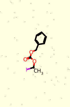 CC(I)OC(=O)OCc1ccccc1